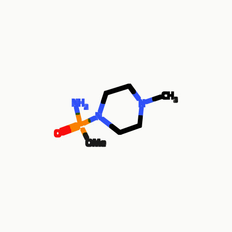 COP(N)(=O)N1CCN(C)CC1